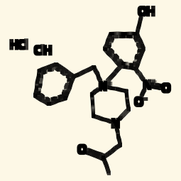 CC(=O)CN1CC[N+](Cc2ccccc2)(c2ccc(O)cc2[N+](=O)[O-])CC1.Cl.Cl